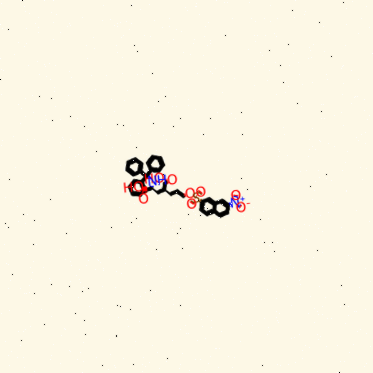 O=C(O)[C@@H](CCCOS(=O)(=O)c1ccc2ccc([N+](=O)[O-])cc2c1)C[C@H](NC(c1ccccc1)(c1ccccc1)c1ccccc1)C(=O)O